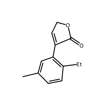 CCc1ccc(C)cc1C1=CCOC1=O